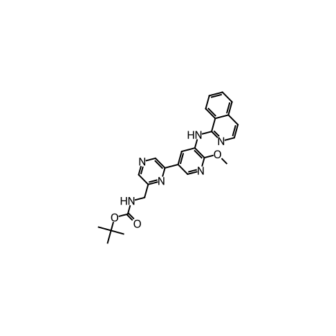 COc1ncc(-c2cncc(CNC(=O)OC(C)(C)C)n2)cc1Nc1nccc2ccccc12